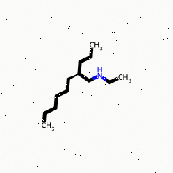 CCCCCC[C@@H](CCC)CNCC